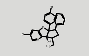 NCC1CC(c2ccccc2)C2(c3ccc(Br)cc3)Oc3cc(Cl)cnc3C12O